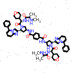 CN[C@@H](C)C(=O)N[C@H](C(=O)N1C[C@@H](NC(=O)c2ccc(C(=O)N[C@H]3C[C@@H](c4cn5c(-c6ccccc6)cccc5n4)N(C(=O)[C@@H](NC(=O)[C@H](C)NC)C4CCOCC4)C3)cc2)C[C@H]1c1cn2c(-c3ccccc3)cccc2n1)C1CCOCC1